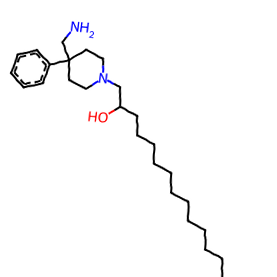 CCCCCCCCCCCCC(O)CN1CCC(CN)(c2ccccc2)CC1